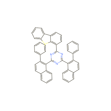 c1ccc(-c2ccc3ccccc3c2-c2nc(-c3c(-c4ccccc4)ccc4ccccc34)nc(-c3cccc4c3sc3ccccc34)n2)cc1